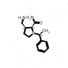 C[C@@H](c1ccccc1)N1CC[C@@H](CN)[C@H]1C(N)=O